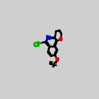 COc1ccc2c(Cl)nc3c(c2c1)OCCC3